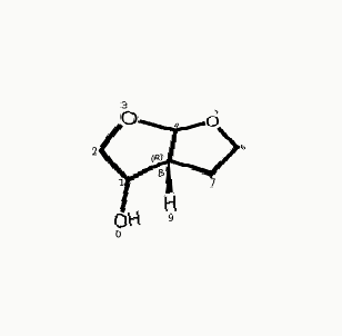 OC1COC2OCC[C@H]12